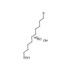 CCCCCCCCCCCCCCCCC[CH2][Ti].Cl.Cl.Cl